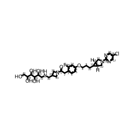 O=C(Cc1ccc(OCCCC2[C@H]3CN(c4ncc(Cl)cn4)C[C@@H]23)cc1F)N1CC(CNCC(O)C(O)C(O)C(O)CO)C1